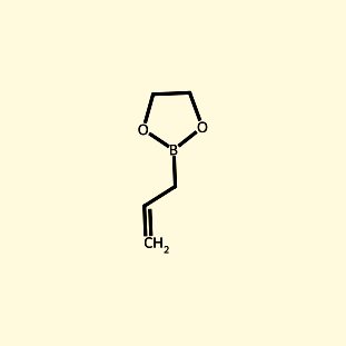 C=CCB1OCCO1